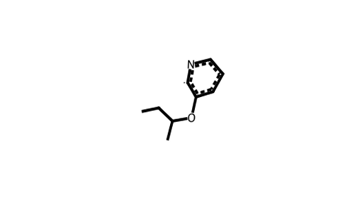 CCC(C)Oc1[c]nccc1